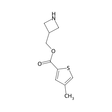 Cc1csc(C(=O)OCC2CNC2)c1